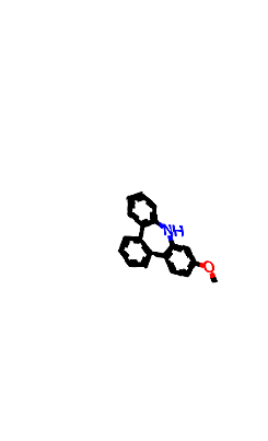 COc1ccc2c(c1)Nc1ccccc1-c1ccccc1-2